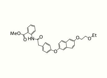 CCOCCOc1ccc2cc(Oc3ccc(CC(=O)Nc4ccccc4C(=O)OC)cc3)ccc2c1